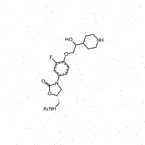 CC(=O)NC[C@H]1CN(c2ccc(OCC(O)C3CCNCC3)c(F)c2)C(=O)O1